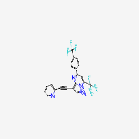 FC(F)(F)c1ccc(-c2cc(C(F)(F)F)n3ncc(C#Cc4ccccn4)c3n2)cc1